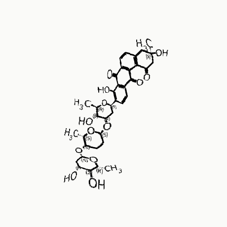 C[C@@H]1O[C@@H](O[C@@H]2C[C@H](c3ccc4c(c3O)C(=O)c3ccc5c(c3C4=O)C(=O)C[C@](C)(O)C5)O[C@H](C)[C@H]2O)CC[C@@H]1O[C@H]1C[C@@H](O)[C@H](O)[C@@H](C)O1